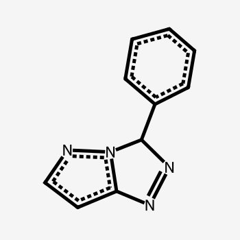 c1ccc(C2N=Nc3ccnn32)cc1